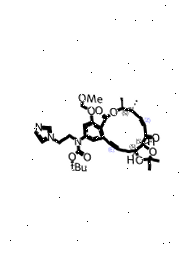 COCOc1cc(N(CCn2ccnc2)C(=O)OC(C)(C)C)cc2c1C(=O)O[C@@H](C)[C@H](C)/C=C\C(=O)[C@H]1OC(C)(C)O[C@H]1C/C=C/2